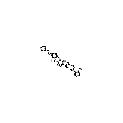 CCc1ccccc1-c1ccc2nc(C(=O)N[C@@H](Cc3ccc(OCc4ccccc4)cc3)C(=O)O)cn2c1